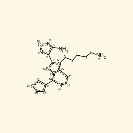 NCCCCCn1c(-c2nonc2N)nc2c(-c3ccsc3)nccc21